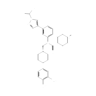 COc1ccc([C@H]2CC[C@H](CN(c3cccc(-c4cnn(C(F)F)c4)c3)C(=O)[C@H]3CC[C@H](O)CC3)CC2)cc1C